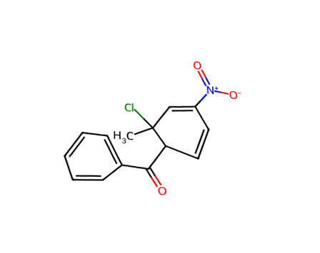 CC1(Cl)C=C([N+](=O)[O-])C=CC1C(=O)c1ccccc1